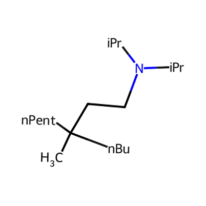 CCCCCC(C)(CCCC)CCN(C(C)C)C(C)C